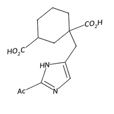 CC(=O)c1ncc(CC2(C(=O)O)CCCC(C(=O)O)C2)[nH]1